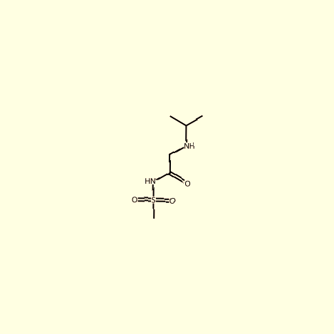 CC(C)NCC(=O)NS(C)(=O)=O